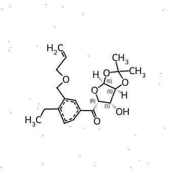 C=CCOCc1cc(C(=O)[C@@H]2O[C@H]3OC(C)(C)O[C@H]3[C@@H]2O)ccc1CC